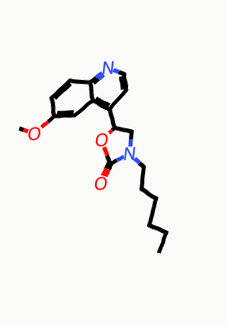 CCCCCCN1CC(c2ccnc3ccc(OC)cc23)OC1=O